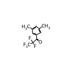 Cc1[c]c(C)cc(C(=O)C(F)(F)C(F)(F)F)c1